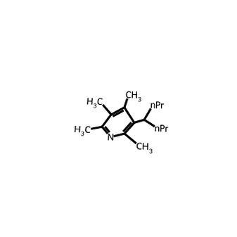 CCCC(CCC)c1c(C)nc(C)c(C)c1C